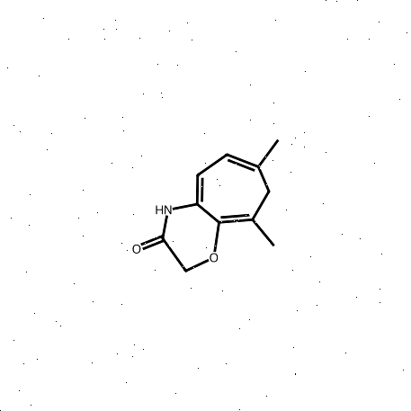 CC1=CC=C2NC(=O)COC2=C(C)C1